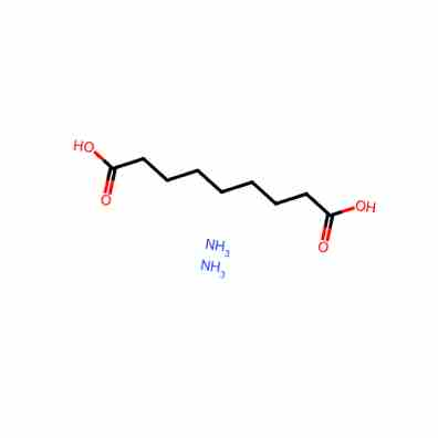 N.N.O=C(O)CCCCCCCC(=O)O